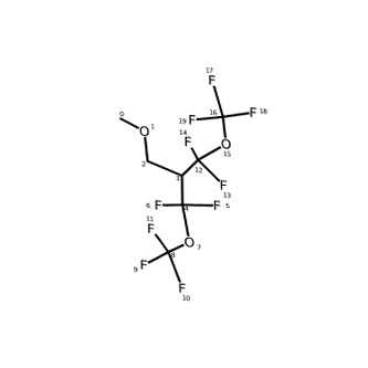 COCC(C(F)(F)OC(F)(F)F)C(F)(F)OC(F)(F)F